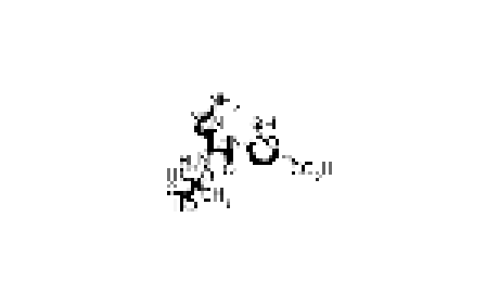 CC(C)(O/N=C(\C(=O)N[C@H]1CC[C@@H](CC(=O)O)OB1O)c1csc(N)n1)C(O)O